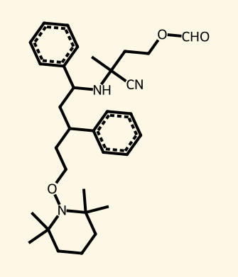 CC(C#N)(CCOC=O)NC(CC(CCON1C(C)(C)CCCC1(C)C)c1ccccc1)c1ccccc1